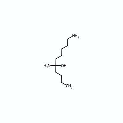 CCCCC(N)(O)CCCCCN